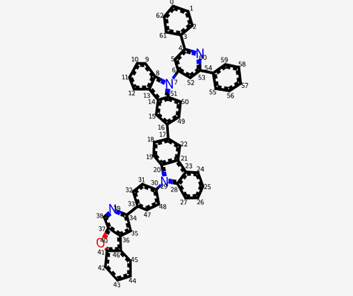 c1ccc(-c2cc(-n3c4ccccc4c4cc(-c5ccc6c(c5)c5ccccc5n6-c5ccc(-c6cc7c(cn6)oc6ccccc67)cc5)ccc43)cc(-c3ccccc3)n2)cc1